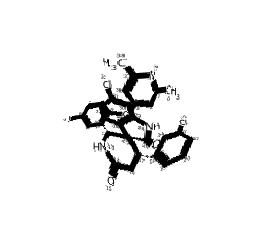 Cc1cc(Oc2ccc(I)cc2[C@H]2NC(=O)C[C@@H](c3cccc(Cl)c3)[C@]23C(=O)Nc2cc(Cl)ccc23)cc(C)n1